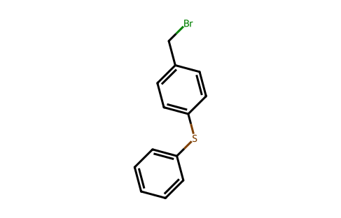 BrCc1ccc(Sc2ccccc2)cc1